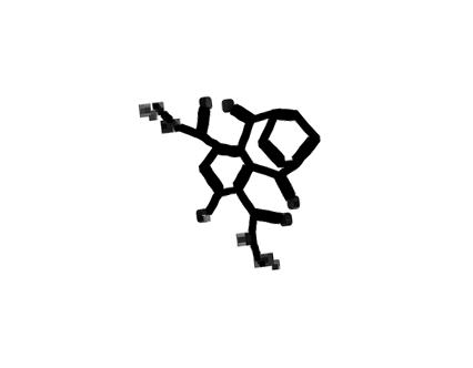 NNC(=O)c1cc(Cl)c(C(=O)NN)c2c(=O)c3ccc(cc3)c(=O)c12